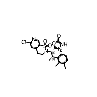 Cc1ccc(F)c([C@@H](C)[C@@H](c2n[nH]c(=O)o2)N2CCc3cc(Cl)ncc3S2(=O)=O)c1C